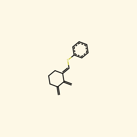 C=C1CCCC(=CSc2ccccc2)C1=C